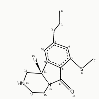 CCCc1cc(SC)c2c(c1)[C@H]1CNCCN1C2=O